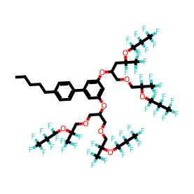 CCCCCc1ccc(-c2cc(OC(COCC(F)(OC(F)(F)C(F)(F)C(F)(F)F)C(F)(F)F)COCC(F)(OC(F)(F)C(F)(F)C(F)(F)F)C(F)(F)F)cc(OC(COCC(F)(OC(F)(F)C(F)(F)C(F)(F)F)C(F)(F)F)CC(F)(OC(F)(F)C(F)(F)C(F)(F)F)C(F)(F)F)c2)cc1